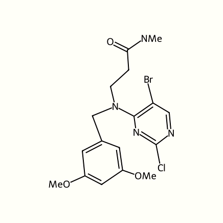 CNC(=O)CCN(Cc1cc(OC)cc(OC)c1)c1nc(Cl)ncc1Br